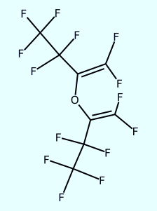 FC(F)=C(OC(=C(F)F)C(F)(F)C(F)(F)F)C(F)(F)C(F)(F)F